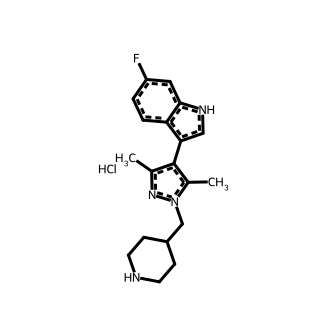 Cc1nn(CC2CCNCC2)c(C)c1-c1c[nH]c2cc(F)ccc12.Cl